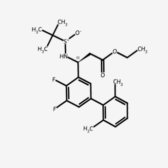 CCOC(=O)C[C@H](N[S+]([O-])C(C)(C)C)c1cc(-c2c(C)cccc2C)cc(F)c1F